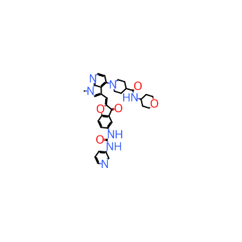 Cn1cc(C=C2Oc3ccc(NC(=O)Nc4cccnc4)cc3C2=O)c2c(N3CCC(C(=O)NC4CCOCC4)CC3)ccnc21